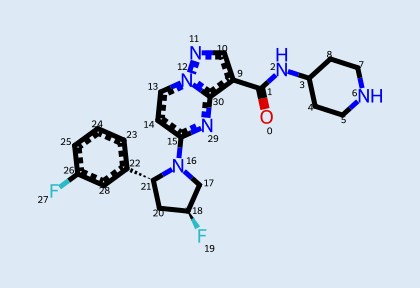 O=C(NC1CCNCC1)c1cnn2ccc(N3C[C@@H](F)C[C@@H]3c3cccc(F)c3)nc12